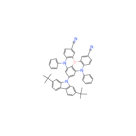 CC(C)(C)c1ccc2c3ccc(C(C)(C)C)cc3n(-c3cc4c5c(c3)N(c3ccccc3)c3ccc(C#N)cc3B5c3cc(C#N)ccc3N4c3ccccc3)c2c1